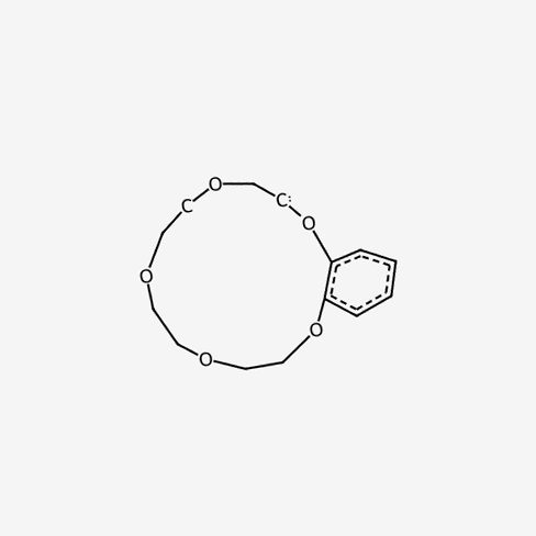 [C]1COCCOCCOCCOc2ccccc2O1